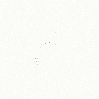 CN(S)CC#N